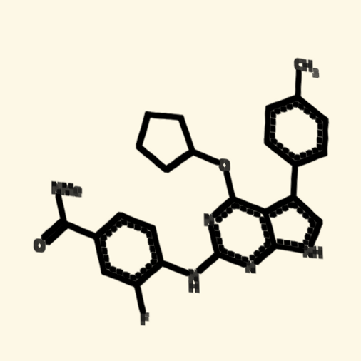 CNC(=O)c1ccc(Nc2nc(OC3CCCC3)c3c(-c4ccc(C)cc4)c[nH]c3n2)c(F)c1